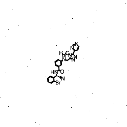 Cn1c(CNc2cccc(C(=O)N[C@@H](C#N)c3ccccc3Br)c2)nnc1-c1ccncn1